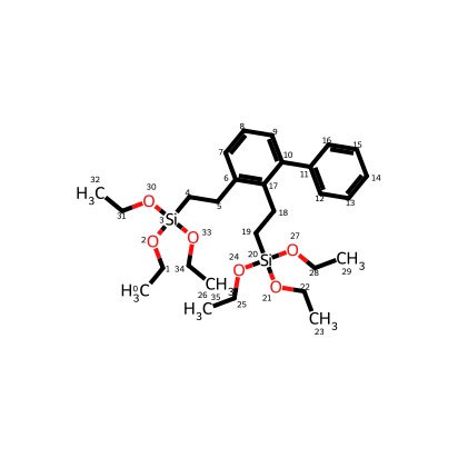 CCO[Si](CCc1cccc(-c2ccccc2)c1CC[Si](OCC)(OCC)OCC)(OCC)OCC